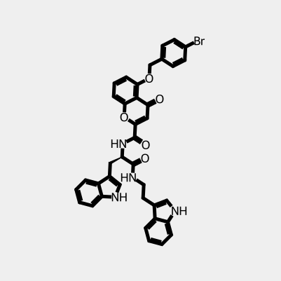 O=C(N[C@H](Cc1c[nH]c2ccccc12)C(=O)NCCc1c[nH]c2ccccc12)c1cc(=O)c2c(OCc3ccc(Br)cc3)cccc2o1